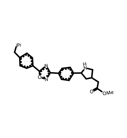 COC(=O)CC1CNC(c2ccc(-c3noc(-c4ccc(CC(C)C)cc4)n3)cc2)C1